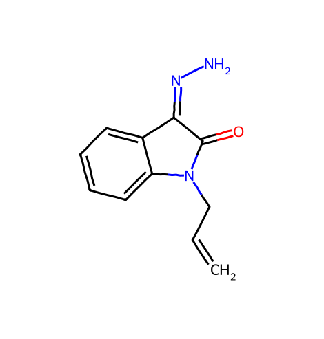 C=CCN1C(=O)C(=NN)c2ccccc21